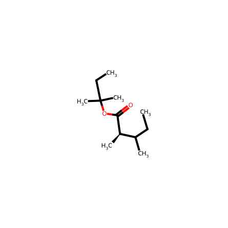 CCC(C)[C@@H](C)C(=O)OC(C)(C)CC